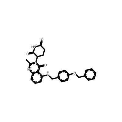 Cc1nc2cccc(NCc3ccc(OCc4ccccc4)cc3)c2c(=O)n1C1CCC(=O)NC1=O